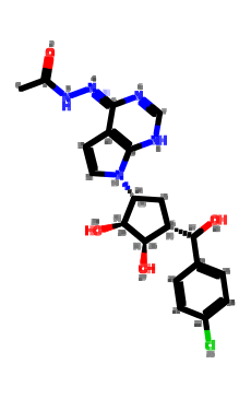 CC(=O)N/N=c1/nc[nH]c2c1ccn2[C@@H]1C[C@H](C(O)c2ccc(Cl)cc2)[C@@H](O)[C@H]1O